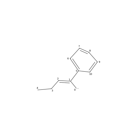 [CH2]/C(=C\CC)c1ccccc1